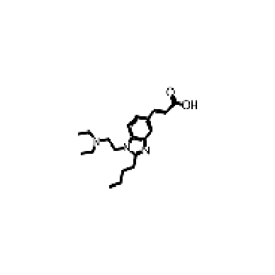 CCCCc1nc2cc(C=CC(=O)O)ccc2n1CCN(CC)CC